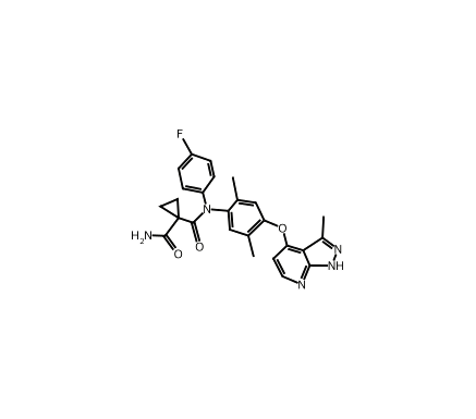 Cc1cc(N(C(=O)C2(C(N)=O)CC2)c2ccc(F)cc2)c(C)cc1Oc1ccnc2[nH]nc(C)c12